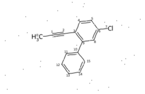 CC#Cc1ccc(Cl)cc1-c1ccccc1